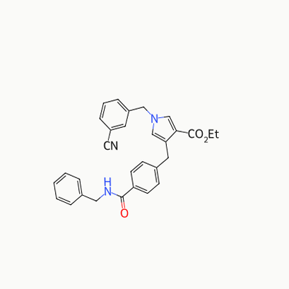 CCOC(=O)c1cn(Cc2cccc(C#N)c2)cc1Cc1ccc(C(=O)NCc2ccccc2)cc1